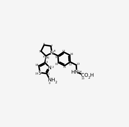 Nc1nc([C@H]2CCCN2c2ccc(CNC(=O)O)cc2)cs1